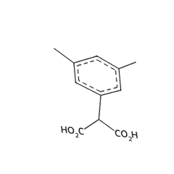 Cc1cc(C)cc(C(C(=O)O)C(=O)O)c1